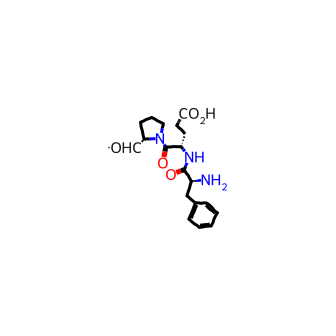 N[C@@H](Cc1ccccc1)C(=O)N[C@@H](CCC(=O)O)C(=O)N1CCC[C@H]1[C]=O